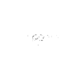 CO/C=C/c1cc(C)c2nc(C=O)cn2c1